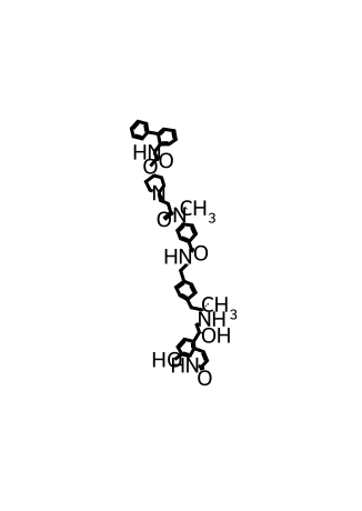 C[C@@H](Cc1ccc(CCNC(=O)c2ccc(N(C)C(=O)CCN3CCC(OC(=O)Nc4ccccc4-c4ccccc4)CC3)cc2)cc1)NC[C@H](O)c1ccc(O)c2[nH]c(=O)ccc12